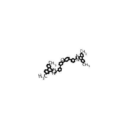 Cc1ccc2c3ccc(C)cc3c3nc(-c4cccc(-c5ccc6oc7ccc(-c8cccc(-c9cnc%10c%11cc(C)ccc%11c%11ccc(C)cc%11c%10n9)c8)cc7c6c5)c4)cnc3c2c1